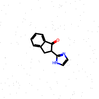 O=C1c2ccccc2CC1c1ncc[nH]1